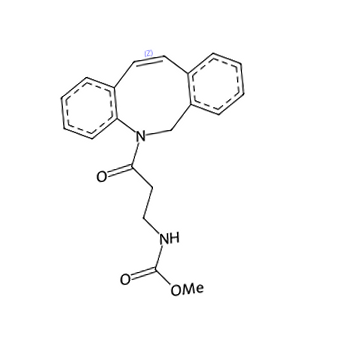 COC(=O)NCCC(=O)N1Cc2ccccc2/C=C\c2ccccc21